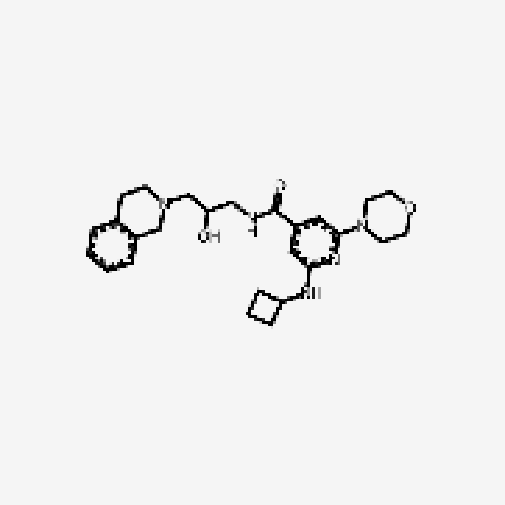 O=C(NCC(O)CN1CCc2ccccc2C1)c1cc(NC2CCC2)nc(N2CCOCC2)c1